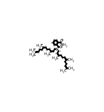 CC(C)=CCCC(C)=CCCC(C)=CCN(CC=C(C)CCC=C(C)CCC=C(C)C)C(=O)c1ccccc1C(N)=O